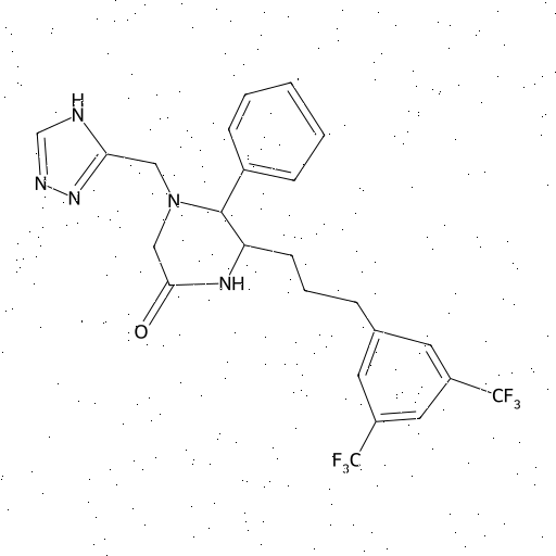 O=C1CN(Cc2nnc[nH]2)C(c2ccccc2)C(CCCc2cc(C(F)(F)F)cc(C(F)(F)F)c2)N1